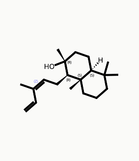 C=C/C(C)=C\C[C@@H]1[C@@]2(C)CCCC(C)(C)[C@@H]2CC[C@@]1(C)O